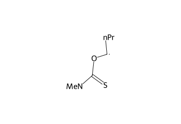 CCC[CH]OC(=S)NC